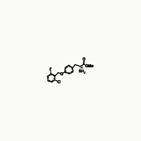 COC(=O)[C@H](N)Cc1ccc(OCc2c(F)cccc2Cl)cc1